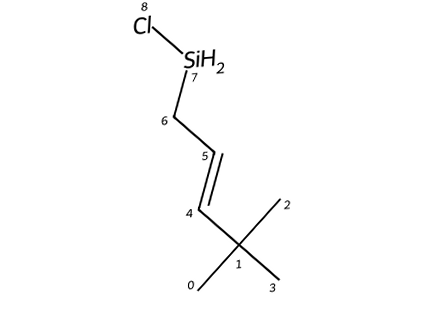 CC(C)(C)C=CC[SiH2]Cl